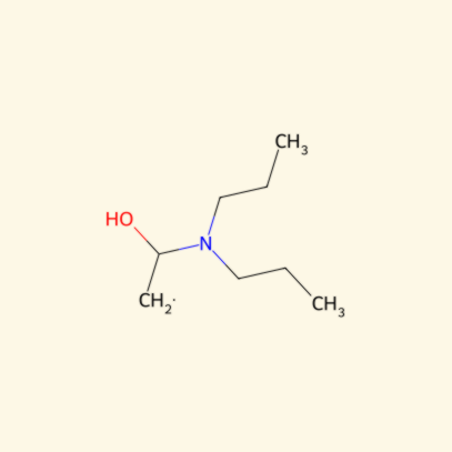 [CH2]C(O)N(CCC)CCC